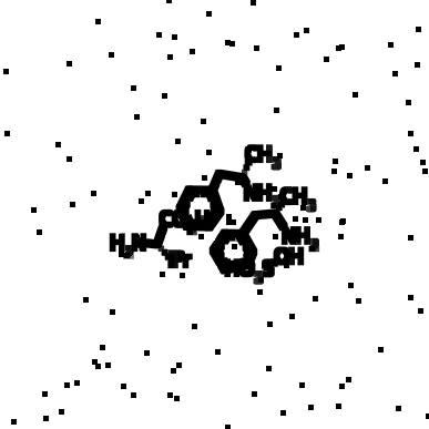 CC(C)[C@H](N)C(=O)O.C[C@H](N)Cc1ccccc1.C[C@H](N)Cc1ccccc1.O=S(=O)(O)O